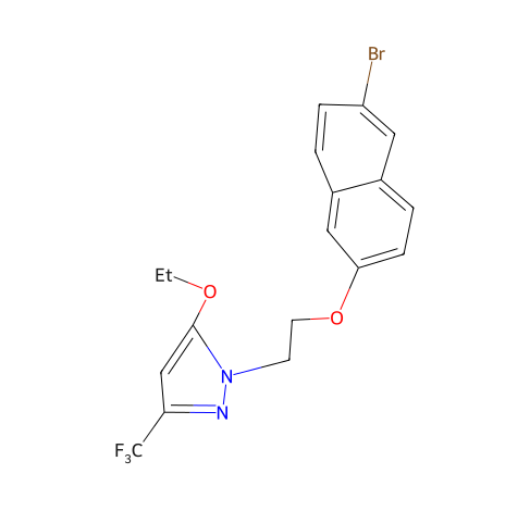 CCOc1cc(C(F)(F)F)nn1CCOc1ccc2cc(Br)ccc2c1